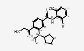 C=C(CC)c1ccc(C(=O)Nc2c(Cl)cncc2Cl)cc1N(N)C1CCCC1